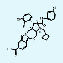 C[C@]1(C(=O)Nc2cccc(Cl)c2)[C@@H](c2cccc(Cl)c2F)[C@@H]2Cn3nc4cc(C(=O)O)ccc4c3OC[C@@H]2N1CC1CCC1